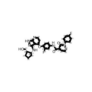 O=C(Nc1ccc(Oc2ccnc3[nH]nc(N[C@@H]4CCC[C@@H]4CO)c23)c(F)c1)c1ccnn(-c2ccc(F)cc2)c1=O